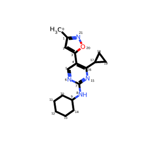 Cc1cc(-c2cnc(NC3CCCCC3)nc2C2CC2)on1